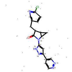 O=C1C(Cc2ccc(Cl)nc2)C2CC2N1c1cc(-c2ccnnc2)n[nH]1